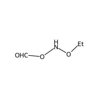 CCONOC=O